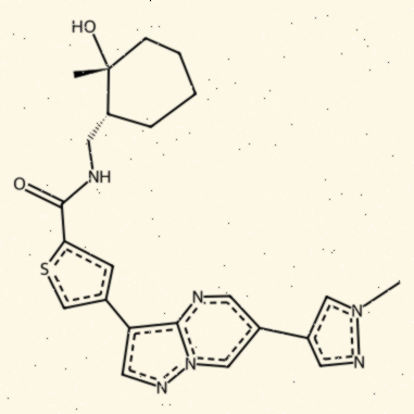 Cn1cc(-c2cnc3c(-c4csc(C(=O)NC[C@H]5CCCC[C@@]5(C)O)c4)cnn3c2)cn1